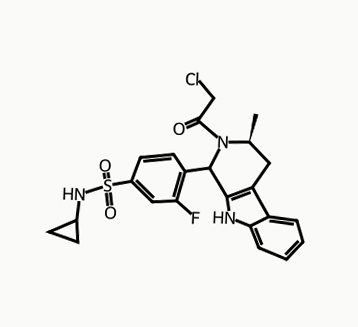 C[C@H]1Cc2c([nH]c3ccccc23)C(c2ccc(S(=O)(=O)NC3CC3)cc2F)N1C(=O)CCl